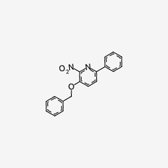 O=[N+]([O-])c1nc(-c2ccccc2)ccc1OCc1ccccc1